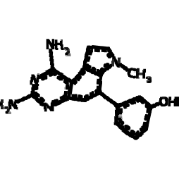 Cn1ccc2c3c(N)nc(N)nc3cc(-c3cccc(O)c3)c21